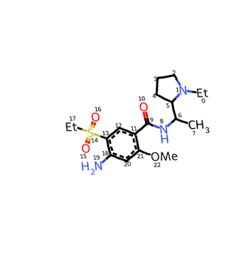 CCN1CCCC1C(C)NC(=O)c1cc(S(=O)(=O)CC)c(N)cc1OC